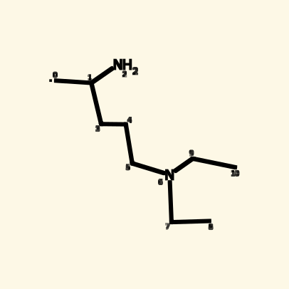 [CH2]C(N)CCCN(CC)CC